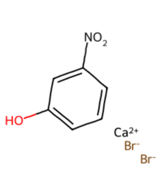 O=[N+]([O-])c1cccc(O)c1.[Br-].[Br-].[Ca+2]